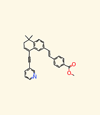 COC(=O)c1ccc(C=Cc2ccc3c(c2)C(C#Cc2cccnc2)=CCC3(C)C)cc1